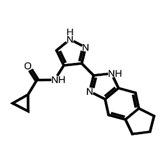 O=C(Nc1c[nH]nc1-c1nc2cc3c(cc2[nH]1)CCC3)C1CC1